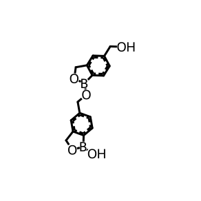 OCc1ccc2c(c1)COB2OCc1ccc2c(c1)COB2O